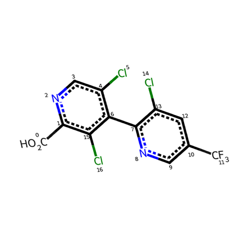 O=C(O)c1ncc(Cl)c(-c2ncc(C(F)(F)F)cc2Cl)c1Cl